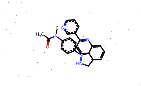 CC(=O)N(C)c1ccc(N2NCC3C=CC=C4N=C(c5cccnc5)C=CC432)cc1